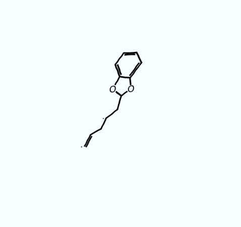 [CH]=CC[CH]CC1Oc2ccccc2O1